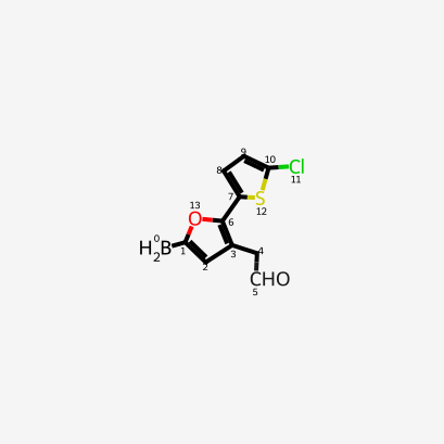 Bc1cc(CC=O)c(-c2ccc(Cl)s2)o1